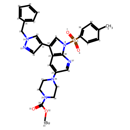 Cc1ccc(S(=O)(=O)n2cc(-c3cnn(Cc4ccccc4)c3)c3cc(N4CCN(C(=O)OC(C)(C)C)CC4)cnc32)cc1